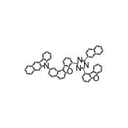 c1ccc2cc(-c3nc(-c4cccc5c4oc4ccc6ccc(-n7c8ccccc8c8cc9ccccc9cc87)cc6c45)nc(-c4cccc5oc6ccccc6c45)n3)ccc2c1